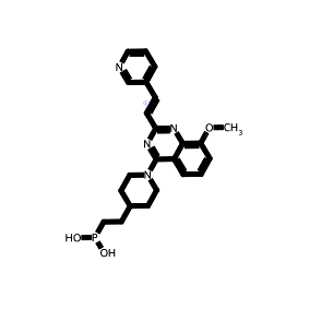 COc1cccc2c(N3CCC(CCP(O)O)CC3)nc(/C=C/c3cccnc3)nc12